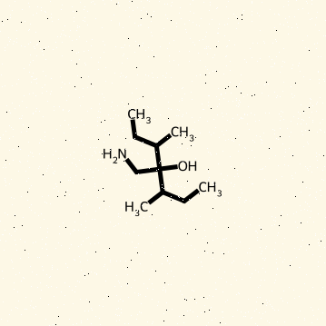 CCC(C)C(O)(CN)C(C)CC